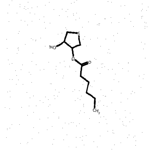 CCCCCC(=O)OC1CSCC1O